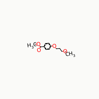 COCCCOc1ccc(C(=O)OC)cc1